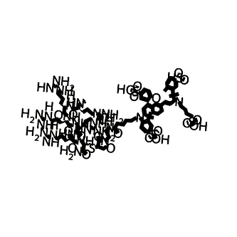 CN[C@H](CCCNC(=N)N)C(=O)N[C@H](CCCNC(=N)N)C(=O)N[C@H](CCCNC(=N)N)C(=O)N[C@H](CCCNC(=N)N)C(=O)N[C@H](CCCNC(=N)N)C(=O)N[C@H](CSC1CC(=O)N(CCNC(=O)CCCCCN2/C(=C/C=C3\CCCC(/C=C/C(=N\CCCCS(=O)(=O)O)C(C)(C)c4cc([SH](=O)=O)ccc4C)=C3Oc3ccc(S(=O)(=O)O)cc3)C(C)(C)c3cc(S(=O)(=O)O)ccc32)C1=O)C(N)=O